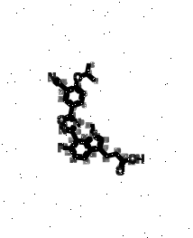 CC(C)Oc1ccc(-c2nc(-c3c(F)ccc4c(CCC(=O)O)cn(C)c34)no2)cc1C#N